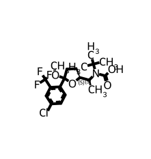 COC1(c2ccc(Cl)cc2C(F)(F)F)CC[C@@H]([C@H](C)N(C(=O)O)C(C)(C)C)O1